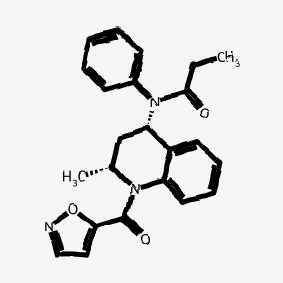 CCC(=O)N(c1ccccc1)[C@H]1C[C@@H](C)N(C(=O)c2ccno2)c2ccccc21